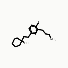 NCCCc1cc(CCC2(O)CCCCC2)ccc1F